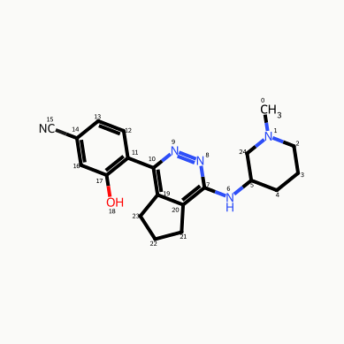 CN1CCCC(Nc2nnc(-c3ccc(C#N)cc3O)c3c2CCC3)C1